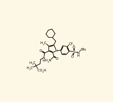 Cc1c(C(=O)NCCC(C)(C)C(=O)O)c(C(N)=O)n(-c2ccc(S(=O)(=O)NC(C)(C)C)c(C(F)(F)F)c2)c1CC1CCCCC1